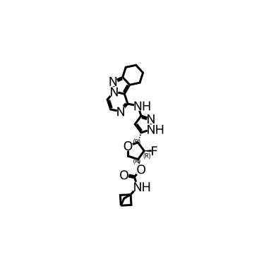 O=C(NC12CC(C1)C2)O[C@@H]1CO[C@H](c2cc(Nc3nccn4nc5c(c34)CCCC5)n[nH]2)[C@H]1F